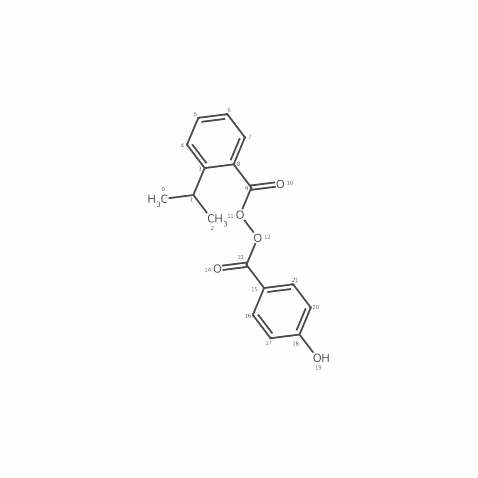 CC(C)c1ccccc1C(=O)OOC(=O)c1ccc(O)cc1